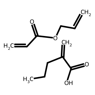 C=C(CCC)C(=O)O.C=CCOC(=O)C=C